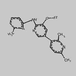 CCOc1cc(-c2ccc(C)nc2C)cnc1Nc1cccc(C)n1